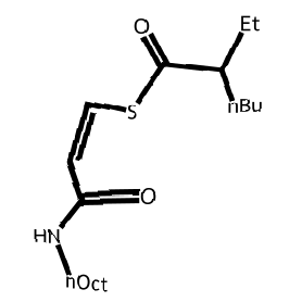 CCCCCCCCNC(=O)/C=C\SC(=O)C(CC)CCCC